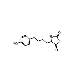 O=C1NC(CCCCc2ccc(O)cc2)C(=O)S1